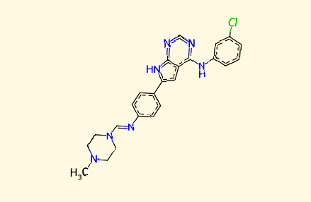 CN1CCN(C=Nc2ccc(-c3cc4c(Nc5cccc(Cl)c5)ncnc4[nH]3)cc2)CC1